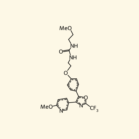 COCCNC(=O)NCCOc1ccc(-c2oc(C(F)(F)F)nc2-c2ccc(OC)nc2)cc1